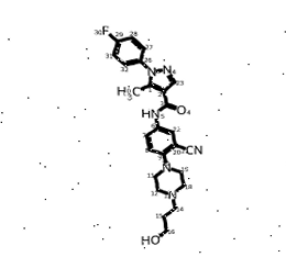 Cc1c(C(=O)Nc2ccc(N3CCN(CCCO)CC3)c(C#N)c2)cnn1-c1ccc(F)cc1